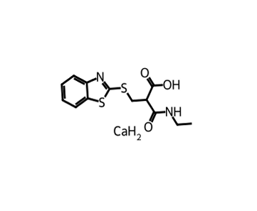 CCNC(=O)C(CSc1nc2ccccc2s1)C(=O)O.[CaH2]